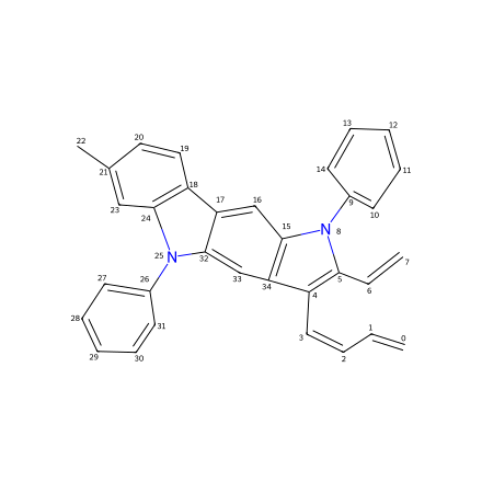 C=C/C=C\c1c(C=C)n(-c2ccccc2)c2cc3c4ccc(C)cc4n(-c4ccccc4)c3cc12